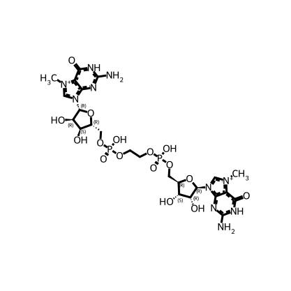 C[n+]1cn([C@@H]2O[C@H](COP(=O)(O)OCCOP(=O)(O)OC[C@H]3O[C@@H](n4c[n+](C)c5c(=O)[nH]c(N)nc54)[C@H](O)[C@@H]3O)[C@@H](O)[C@H]2O)c2nc(N)[nH]c(=O)c21